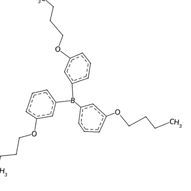 CCCCOc1cccc(B(c2cccc(OCCCC)c2)c2cccc(OCCCC)c2)c1